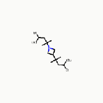 CCC(CC(C)(C)C1CN(C(C)(C)CC(CC)C(C)(C)C)C1)C(C)(C)C